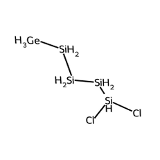 Cl[SiH](Cl)[SiH2][SiH2][SiH2][GeH3]